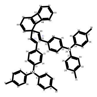 Cc1ccc(N(c2ccc(C)cc2)c2ccc(/C=C/C3(/C=C/c4ccc(N(c5ccc(C)cc5)c5ccc(C)cc5)cc4)C=CCC4=C3c3ccccc34)cc2)cc1